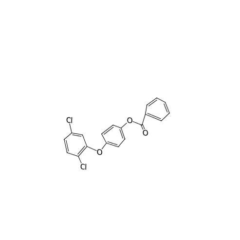 O=C(Oc1ccc(Oc2cc(Cl)ccc2Cl)cc1)c1ccccc1